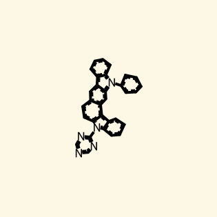 c1ccc(-n2c3ccccc3c3cc4ccc5c(c4cc32)c2ccccc2n5-c2ncncn2)cc1